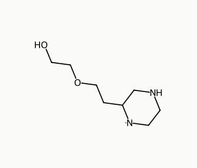 OCCOCCC1CNCC[N]1